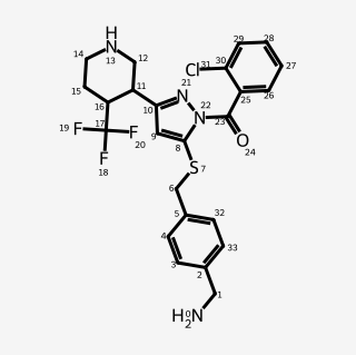 NCc1ccc(CSc2cc(C3CNCCC3C(F)(F)F)nn2C(=O)c2ccccc2Cl)cc1